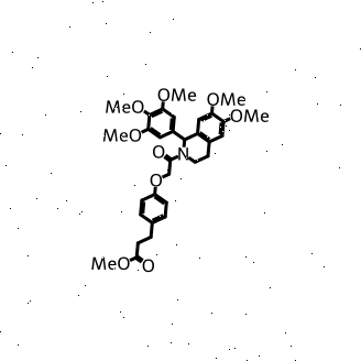 COC(=O)CCc1ccc(OCC(=O)N2CCc3cc(OC)c(OC)cc3C2c2cc(OC)c(OC)c(OC)c2)cc1